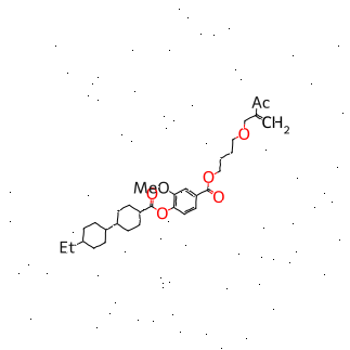 C=C(COCCCCOC(=O)c1ccc(OC(=O)C2CCC(C3CCC(CC)CC3)CC2)c(OC)c1)C(C)=O